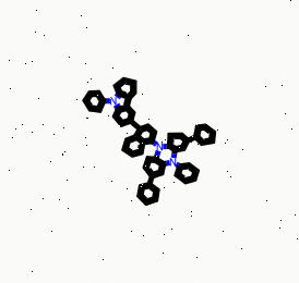 c1ccc(-c2ccc3c(c2)N(c2ccccc2)c2cc(-c4ccccc4)ccc2N3c2ccc(-c3ccc4c(c3)c3ccccc3n4-c3ccccc3)c3ccccc23)cc1